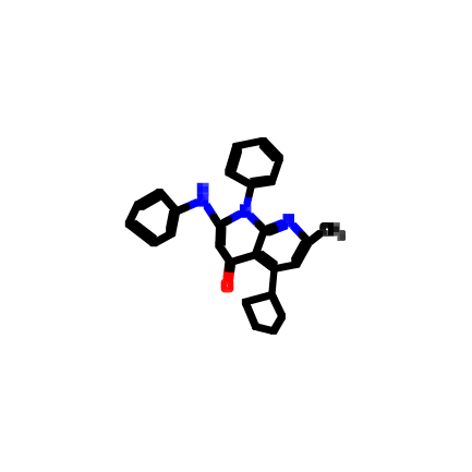 Cc1cc(C2CCCC2)c2c(=O)cc(Nc3ccccc3)n(-c3ccccc3)c2n1